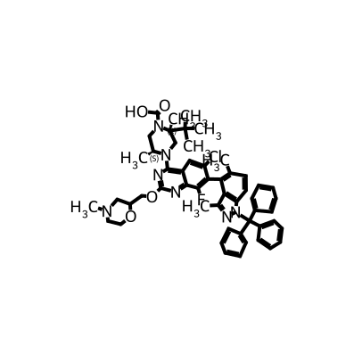 Cc1ccc2c(c(C)nn2C(c2ccccc2)(c2ccccc2)c2ccccc2)c1-c1c(Cl)cc2c(N3C[C@@](C)(C(C)(C)C)N(C(=O)O)C[C@@H]3C)nc(OCC3CN(C)CCO3)nc2c1F